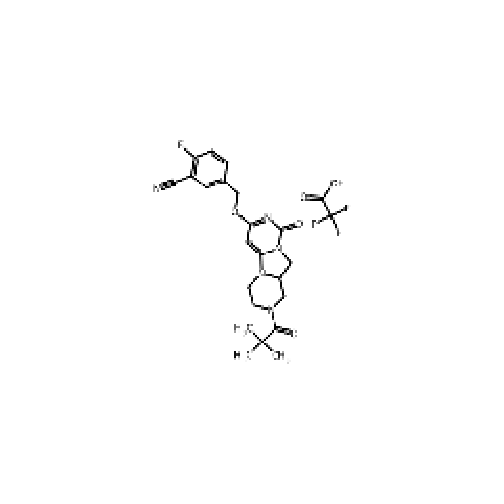 CC(C)(C)C(=O)N1CCN2c3cc(OCc4ccc(F)c(C#N)c4)nc(=O)n3CC2C1.O=C(O)C(F)(F)F